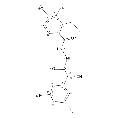 CCc1c(C(=O)NNC(=O)[C@H](O)c2cc(F)cc(F)c2)ccc(O)c1C